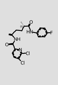 C=C(CC[C@H](C)C(=O)Nc1ccc(F)cc1)NC(=O)c1ccc(Cl)c(Cl)n1